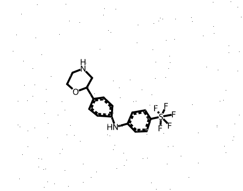 FS(F)(F)(F)(F)c1ccc(Nc2ccc(C3CNCCO3)cc2)cc1